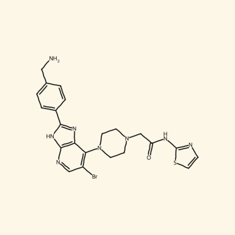 NCc1ccc(-c2nc3c(N4CCN(CC(=O)Nc5nccs5)CC4)c(Br)cnc3[nH]2)cc1